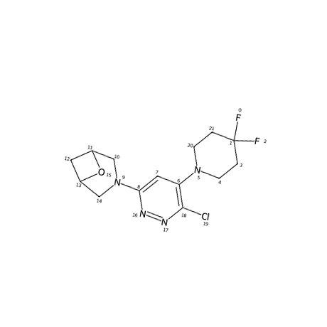 FC1(F)CCN(c2cc(N3CC4CC(C3)O4)nnc2Cl)CC1